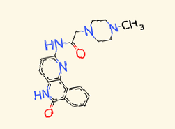 CN1CCN(CC(=O)Nc2ccc3[nH]c(=O)c4ccccc4c3n2)CC1